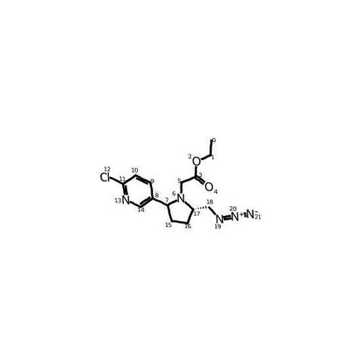 CCOC(=O)CN1C(c2ccc(Cl)nc2)CC[C@H]1CN=[N+]=[N-]